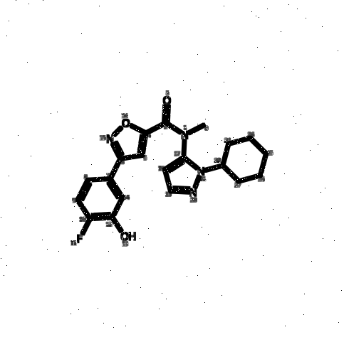 CN(C(=O)c1cc(-c2ccc(F)c(O)c2)no1)c1ccnn1C1CCCCC1